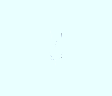 O=Cc1ncc(-c2cccc(Cl)c2)cc1O